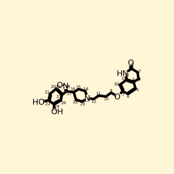 O=C1CCc2ccc(OCCCCN3CCC(c4noc5cc(O)c(O)cc45)CC3)cc2N1